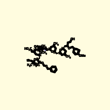 C=C1C[C@H](C[C@@H]2CC(=C)C[C@H](/C=C/C(C)(C)[C@]3(OC)O[C@H](C[C@@H](O[Si](C)(C)C(C)(C)C)[C@@H](C)OCOCc4ccccc4)CC(=CC(=O)O)[C@@H]3OC(C)=O)O2)O[C@H](CC(CCO)OCc2ccc(OC)cc2)C1